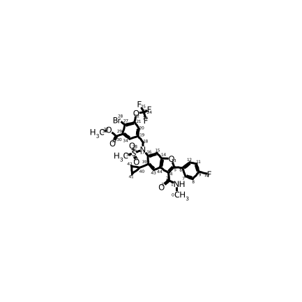 CNC(=O)c1c(-c2ccc(F)cc2)oc2cc(N(Cc3cc(OC(F)(F)F)c(Br)c(C(=O)OC)c3)S(C)(=O)=O)c(C3CC3)cc12